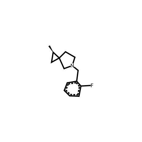 C[C@@H]1CC12CCN(Cc1ccccc1F)C2